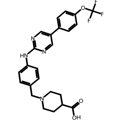 O=C(O)C1CCN(Cc2ccc(Nc3ncc(-c4ccc(OC(F)(F)F)cc4)cn3)cc2)CC1